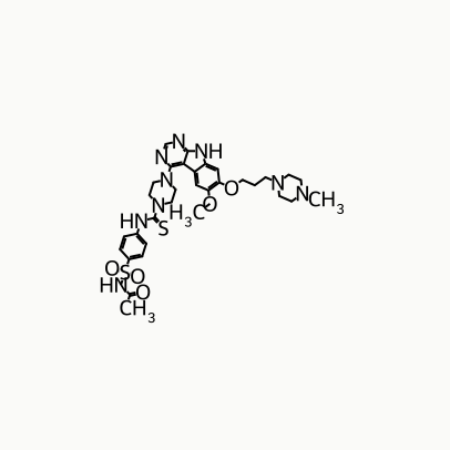 COc1cc2c(cc1OCCCN1CCN(C)CC1)[nH]c1ncnc(N3CCN(C(=S)Nc4ccc(S(=O)(=O)NC(C)=O)cc4)CC3)c12